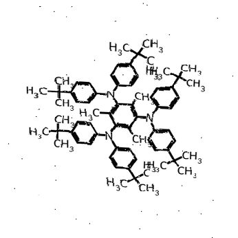 Cc1c(N(c2ccc(C(C)(C)C)cc2)c2ccc(C(C)(C)C)cc2)c(C)c(N(c2ccc(C(C)(C)C)cc2)c2ccc(C(C)(C)C)cc2)c(C)c1N(c1ccc(C(C)(C)C)cc1)c1ccc(C(C)(C)C)cc1